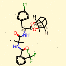 CC(C)(NC(=O)c1ccccc1C(F)(F)F)C(=O)N[C@@H](Cc1ccc(Cl)cc1)B1O[C@@H]2CC3C[C@@H](C3(C)C)[C@]2(C)O1